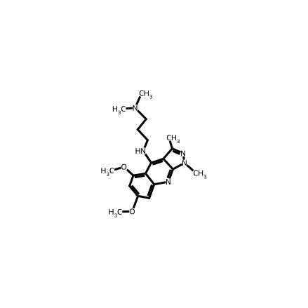 COc1cc(OC)c2c(NCCCN(C)C)c3c(C)nn(C)c3nc2c1